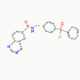 O=C(NCc1ccc(S(=O)(=O)c2ccccc2)cc1)c1ccc2ncncc2c1